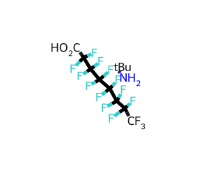 CC(C)(C)N.O=C(O)C(F)(F)C(F)(F)C(F)(F)C(F)(F)C(F)(F)C(F)(F)C(F)(F)F